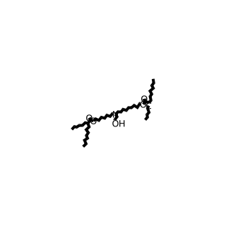 CCCCCCCCC(CCCCCC)C(=O)OCCCCCCCCCN(CCO)CCCCCCCOC(=O)C(CCCCCC)CCCCCCCC